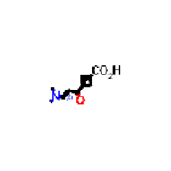 CN(C)/C=C/C(=O)C12CC(C(=O)O)(C1)C2